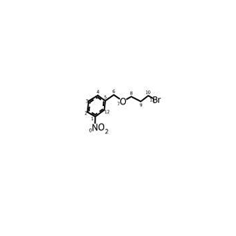 O=[N+]([O-])c1cccc(COCCCBr)c1